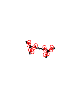 C=CC(=O)OCC(C)(COC(=O)C=C)COC(=O)CCCCCC(=O)OCC(C)(COC(=O)C=C)COC(=O)C=C